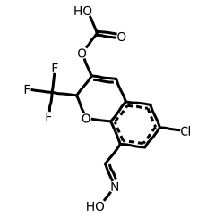 O=C(O)OC1=Cc2cc(Cl)cc(C=NO)c2OC1C(F)(F)F